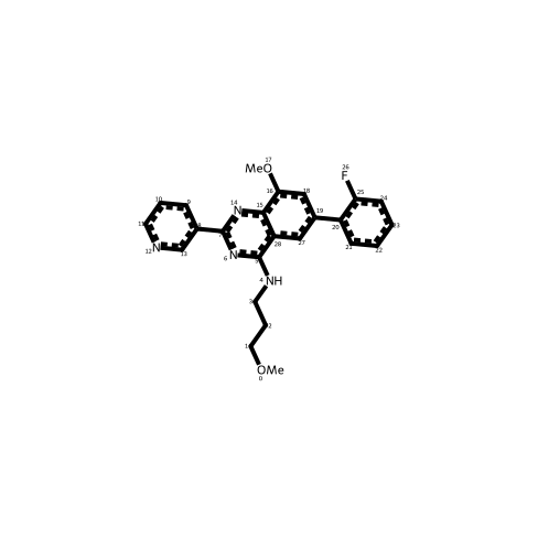 COCCCNc1nc(-c2cccnc2)nc2c(OC)cc(-c3ccccc3F)cc12